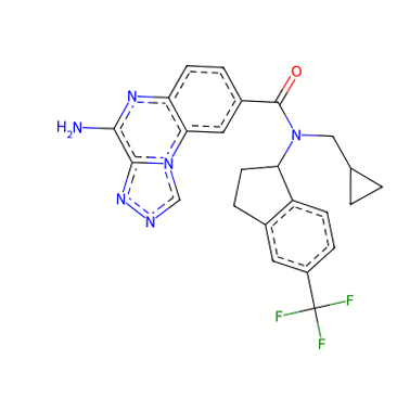 Nc1nc2ccc(C(=O)N(CC3CC3)C3CCc4cc(C(F)(F)F)ccc43)cc2n2cnnc12